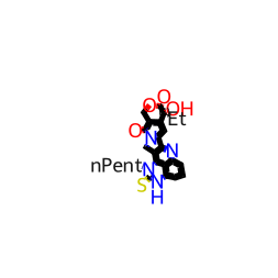 CCCCCN1C(=S)Nc2cccc3nc4c(c1c23)Cn1c-4cc2c(c1=O)COC(=O)[C@]2(O)CC